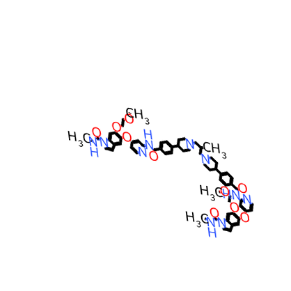 CNC(=O)n1ccc2cc(Oc3ccnc(NC(=O)c4ccc(C5CCN(CC(C)CN6CCC(c7ccc(C(=O)Nc8cc(Oc9cc%10ccn(C(=O)NC)c%10cc9OCCOC)ccn8)cc7)CC6)CC5)cc4)c3)c(OCCOC)cc21